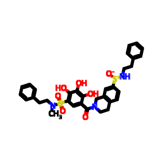 CN(CCc1ccccc1)S(=O)(=O)c1cc(C(=O)N2CCc3ccc([S+]([O-])NCCc4ccccc4)cc3C2)c(O)c(O)c1O